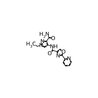 CCn1cc(NC(=O)c2coc(-c3ccccn3)n2)c(C(N)=O)n1